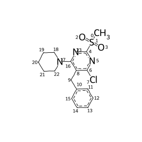 CS(=O)(=O)c1nc(Cl)c(Cc2ccccc2)c(N2CCCCC2)n1